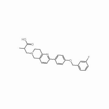 CC(CN1CCc2nc(-c3ccc(OCc4cccc(F)c4)cc3)ccc2C1)C(=O)O